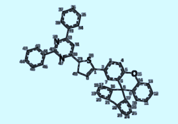 C1=C(c2ccc3c(c2)C2(c4ccccc4O3)c3ccccc3-c3ccccc32)SC(c2cc(-c3ccccc3)nc(-c3ccccc3)n2)C1